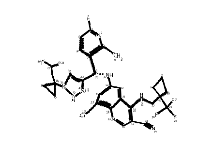 Cc1nc(F)ccc1[C@H](Nc1cc(Cl)c2ncc(C#N)c(NCC3(C(F)(F)F)CCC3)c2c1)C1=CN(C2(C(F)F)CC2)NN1